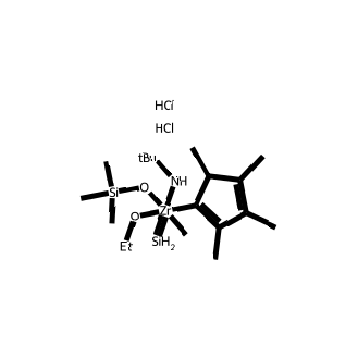 CC[O][Zr]([CH3])(=[SiH2])([NH]C(C)(C)C)([O][Si](C)(C)C)[C]1=C(C)C(C)=C(C)C1C.Cl.Cl